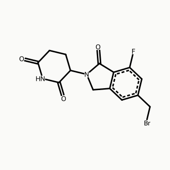 O=C1CCC(N2Cc3cc(CBr)cc(F)c3C2=O)C(=O)N1